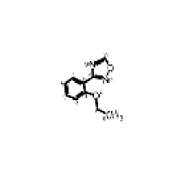 CCOc1ccccc1-c1ncon1